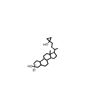 CC[C@]1(O)CCC2C(CCC3C2CCC2(C)C(C(C)CCC4(O)CC4)CCC32)C1